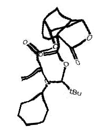 C=C(C)C(=O)OC1C2CC3C1OC(=O)C3(C(=O)OC(OC1CCCCC1)C(C)(C)C)C2